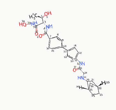 C[C@@H](O)[C@H](NC(=O)c1ccc(-c2ccc(NC(=O)CNC3C[C@@H]4CC[C@H]3C4)cc2)cc1)C(=O)NO